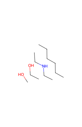 CCCCCC.CCNCC.CCO.CO